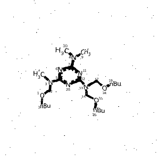 CCCCOCN(C)c1nc(N(C)C)nc(N(COCCCC)COCCCC)n1